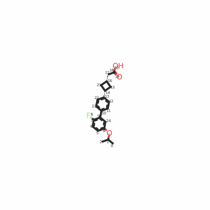 CC(C)Oc1ccc(F)c(-c2ccc([C@H]3C[C@@H](CC(=O)O)C3)cc2)c1